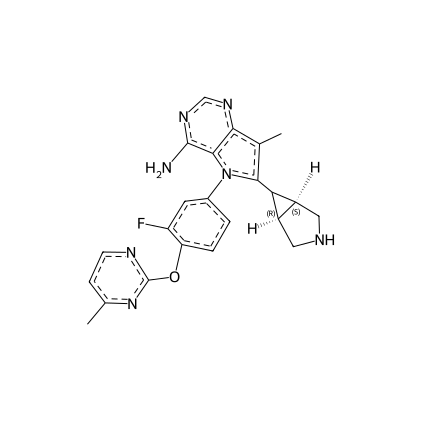 Cc1ccnc(Oc2ccc(-n3c(C4[C@H]5CNC[C@@H]45)c(C)c4ncnc(N)c43)cc2F)n1